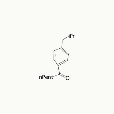 CCCCCC(=O)c1ccc(CC(C)C)cc1